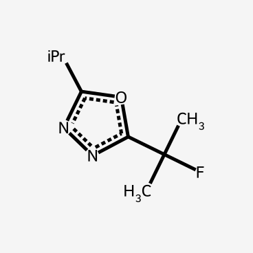 CC(C)c1nnc(C(C)(C)F)o1